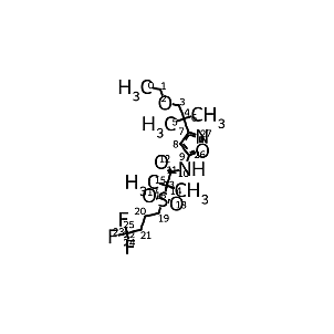 CCOCC(C)(C)c1cc(NC(=O)C(C)(C)S(=O)(=O)CCCC(F)(F)F)on1